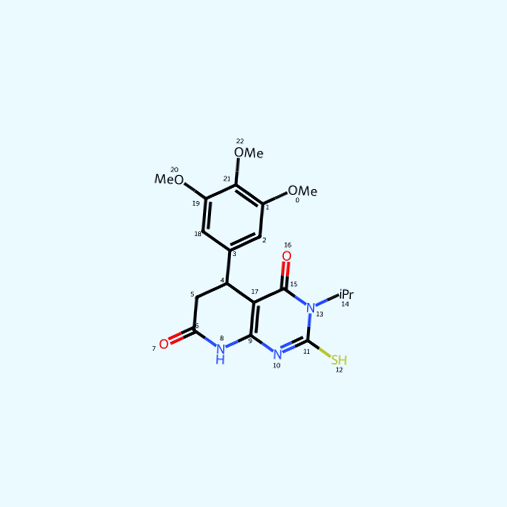 COc1cc(C2CC(=O)Nc3nc(S)n(C(C)C)c(=O)c32)cc(OC)c1OC